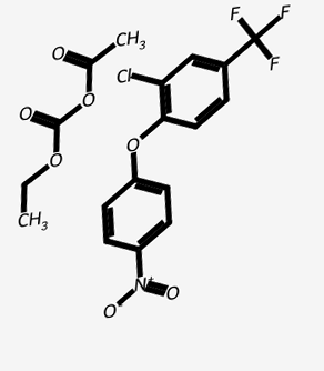 CCOC(=O)OC(C)=O.O=[N+]([O-])c1ccc(Oc2ccc(C(F)(F)F)cc2Cl)cc1